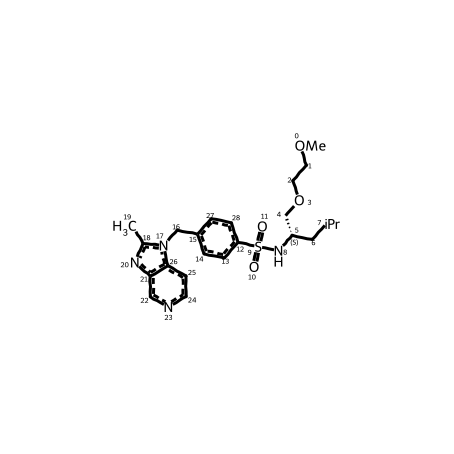 COCCOC[C@H](CC(C)C)NS(=O)(=O)c1ccc(Cn2c(C)nc3cnccc32)cc1